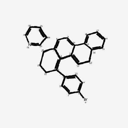 Brc1ccc(C2=c3c(ccc4c3=CCc3ccccc3-4)CCC2)cc1.c1ccncc1